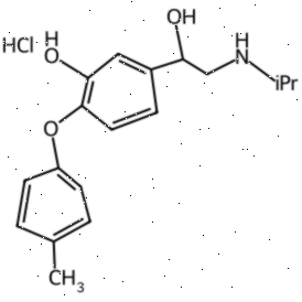 Cc1ccc(Oc2ccc(C(O)CNC(C)C)cc2O)cc1.Cl